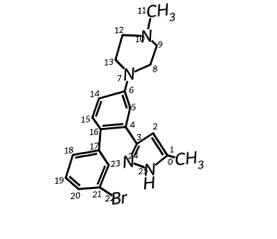 Cc1cc(-c2cc(N3CCN(C)CC3)ccc2-c2cccc(Br)c2)n[nH]1